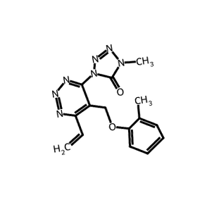 C=Cc1nnnc(-n2nnn(C)c2=O)c1COc1ccccc1C